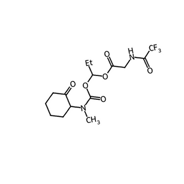 CCC(OC(=O)CNC(=O)C(F)(F)F)OC(=O)N(C)C1CCCCC1=O